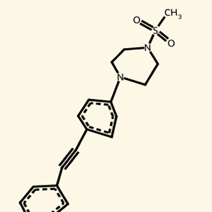 CS(=O)(=O)N1CCN(c2ccc(C#Cc3ccccc3)cc2)CC1